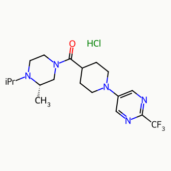 CC(C)N1CCN(C(=O)C2CCN(c3cnc(C(F)(F)F)nc3)CC2)C[C@@H]1C.Cl